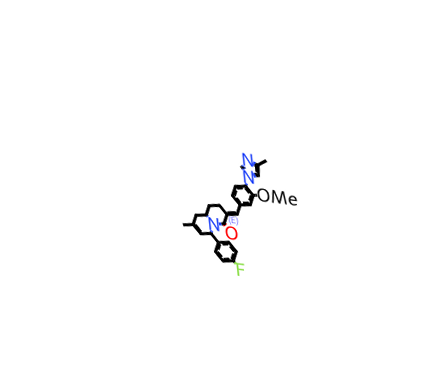 COc1cc(/C=C2\CCC3CC(C)=CC(c4ccc(F)cc4)N3C2=O)ccc1-n1cnc(C)c1